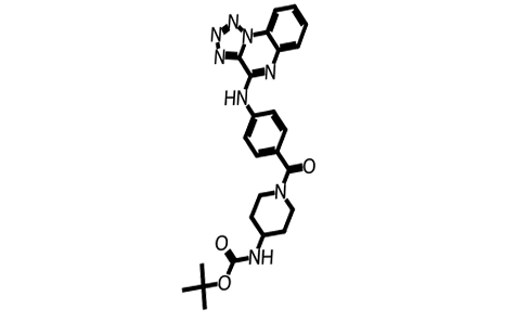 CC(C)(C)OC(=O)NC1CCN(C(=O)c2ccc(Nc3nc4ccccc4n4nnnc34)cc2)CC1